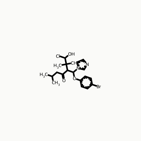 CC(C)CC(=O)C(C(Oc1ccc(Br)cc1)n1ccnc1)C(C)(C)C(O)Cl